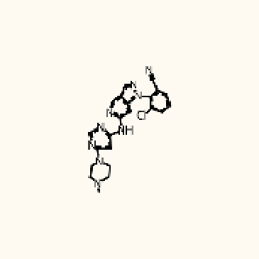 CN1CCN(c2cc(Nc3cc4c(cn3)cnn4-c3c(Cl)cccc3C#N)ncn2)CC1